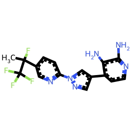 CC(F)(c1ccc(-n2cc(-c3ccnc(N)c3N)cn2)nc1)C(F)(F)F